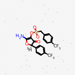 [2H][C@]1(c2ccc(C(F)(F)F)cc2)OC(N)=C(OS(=O)(=O)Cc2ccc(C(F)(F)F)cc2)C1=O